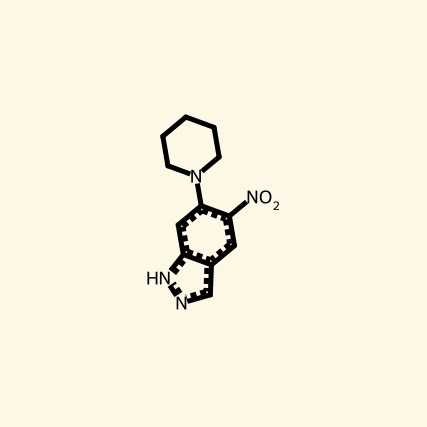 O=[N+]([O-])c1cc2cn[nH]c2cc1N1CCCCC1